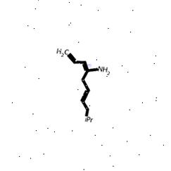 C=C/C=C(/N)CC=CCC(C)C